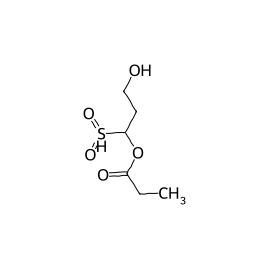 CCC(=O)OC(CCO)[SH](=O)=O